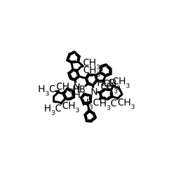 Cc1cc2c(cc1N1c3cc(-c4ccccc4)ccc3Bc3c(-c4c(Nc5ccc6c(c5)C(C)(C)CCC6(C)C)ccc5c4C(C)(C)c4ccccc4-5)cc4c(c31)C(C)(C)c1ccccc1-4)C(C)(C)CCC2(C)C